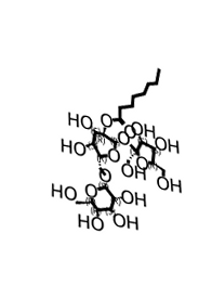 CCCCCCCC(=O)O[C@H]1[C@@H](O[C@]2(CO)O[C@H](CO)[C@@H](O)[C@@H]2O)O[C@H](CO[C@H]2O[C@H](CO)[C@H](O)[C@H](O)[C@H]2O)[C@@H](O)[C@@H]1O